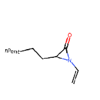 C=CN1C(=O)C1CCCCCCC